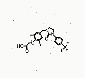 Cc1cc(CN2CCN(c3ccc(C(F)(F)F)cc3)C2=O)cc(C)c1OCC(=O)O